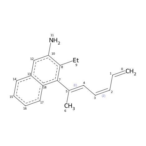 C=C/C=C\C=C(/C)c1c(CC)c(N)cc2ccccc12